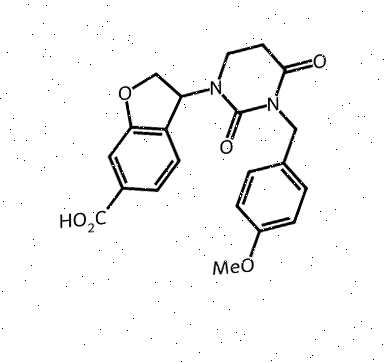 COc1ccc(CN2C(=O)CCN(C3COc4cc(C(=O)O)ccc43)C2=O)cc1